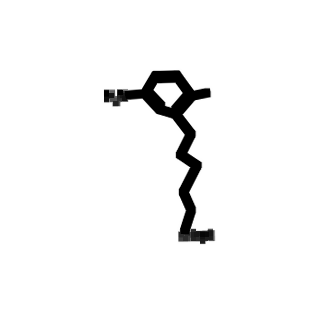 CCCCCCCCCCCCc1cc(N)ccc1C